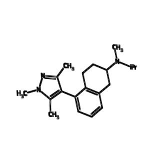 Cc1nn(C)c(C)c1-c1cccc2c1CCC(N(C)C(C)C)C2